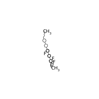 C/C=C\Oc1ccc(-c2ccc(-c3ccc(C4CCC(C5CCC(CCCCC)CC5)CC4)cc3F)cc2)c(F)c1F